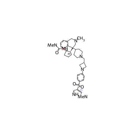 CN/C=C(\C=N)S(=O)(=O)c1ccc(N2CC(CN3CCC(C4([C@H]5CCC[C@@H]5NC(=O)NC)CN(C)Cc5ccccc54)CC3)C2)cc1